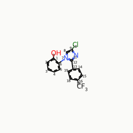 Oc1ccccc1-n1cc(Cl)nc1-c1ccc(C(F)(F)F)cc1